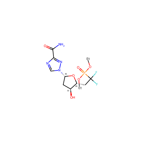 CCOP(=O)(OCC)C(F)(F)C[C@H]1O[C@@H](n2cnc(C(N)=O)n2)C[C@@H]1O